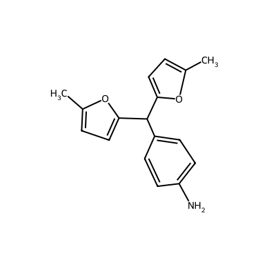 Cc1ccc(C(c2ccc(N)cc2)c2ccc(C)o2)o1